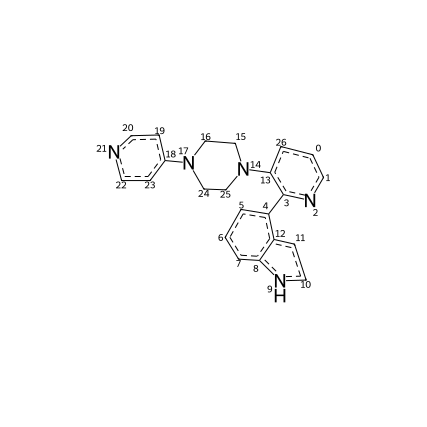 c1cnc(-c2cccc3[nH]ccc23)c(N2CCN(c3ccncc3)CC2)c1